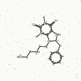 Cn1c2c(c(=O)n(C)c1=O)NC(Cc1ccccc1)N2CCNCCO